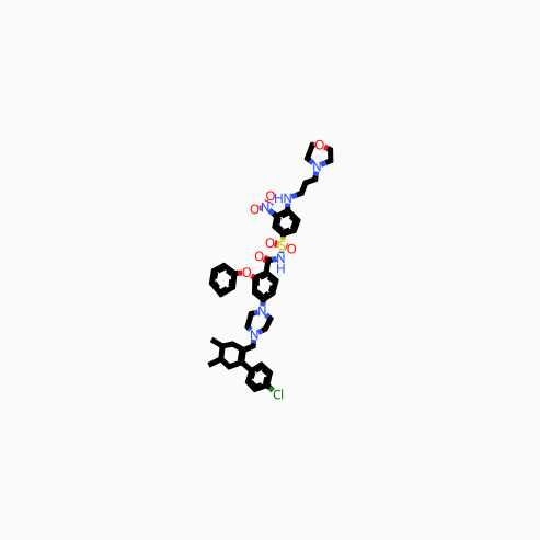 CC1CC(CN2CCN(c3ccc(C(=O)NS(=O)(=O)c4ccc(NCCCN5CCOCC5)c([N+](=O)[O-])c4)c(Oc4ccccc4)c3)CC2)=C(c2ccc(Cl)cc2)CC1C